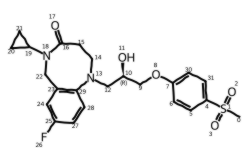 CS(=O)(=O)c1ccc(OC[C@H](O)CN2CCC(=O)N(C3CC3)Cc3cc(F)ccc32)cc1